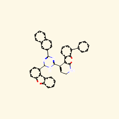 C1=C(C2=NC(c3ccc4ccccc4c3)=NC(c3cccc4oc5ccccc5c34)N2)c2c(oc3c(-c4ccccc4)cccc23)NC1